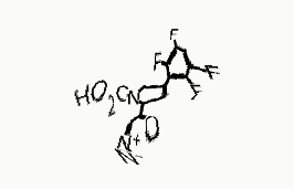 [N-]=[N+]=CC(=O)C1CC(c2c(F)c(F)cc(F)c2F)CN1C(=O)O